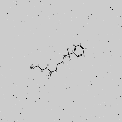 CN(CCCOC(C)(C)c1ccccc1)OCCS